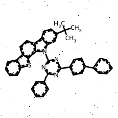 CC(C)(C)c1ccc2c3ccc4c5ccccc5sc4c3n(-c3nc(-c4ccccc4)nc(-c4ccc(-c5ccccc5)cc4)n3)c2c1